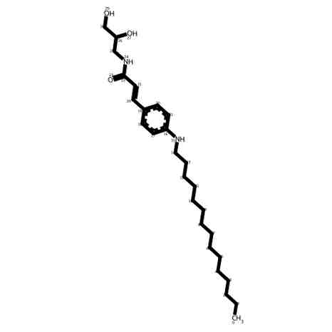 CCCCCCCCCCCCCCCNc1ccc(C=CC(=O)NCC(O)CO)cc1